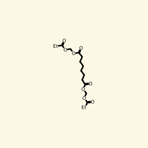 CCC(=O)OCOC(=O)CCCCCCC(=O)OCOC(=O)CC